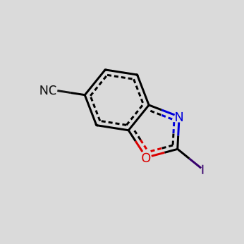 N#Cc1ccc2nc(I)oc2c1